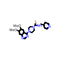 COc1cc2ncnc(N3CCN(C(=S)NCc4ccncc4)CC3)c2cc1OC